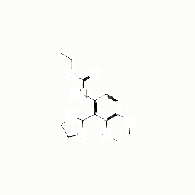 CCOC(=O)Nc1ccc(OC)c(OC)c1C1OCCO1